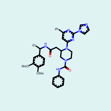 CCC(NC(=O)CC1CN(C(=O)Nc2ccccc2)CCN1c1cc(C(C)C)nc(-n2ccnc2)n1)c1ccc(OC)c(OC)c1